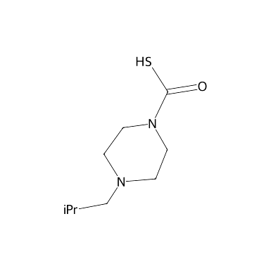 CC(C)CN1CCN(C(=O)S)CC1